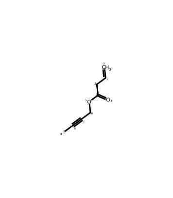 C=CCC(=O)OCC#CI